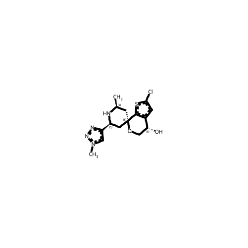 C[C@H]1C[C@@]2(C[C@@H](c3cn(C)nn3)N1)OC[C@@H](O)c1cc(Cl)sc12